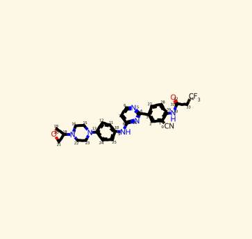 N#Cc1cc(-c2nccc(Nc3ccc(N4CCN(C5COC5)CC4)cc3)n2)ccc1NC(=O)CC(F)(F)F